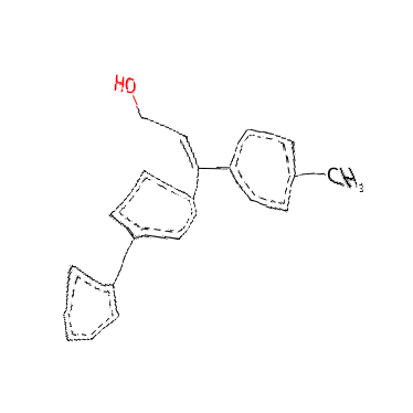 Cc1ccc(C(=CCO)c2ccc(-c3ccccc3)cc2)cc1